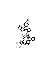 CCCCc1nc(Cl)c(CO)n1Cc1ccc(-c2ccccc2-c2nnn(Cc3ccccc3-c3ccc4ccccc4c3-c3ccc(OC)cc3)n2)cc1